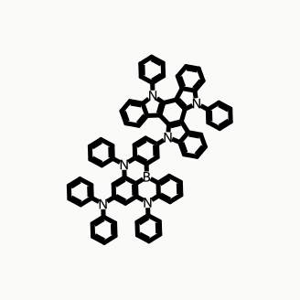 c1ccc(N(c2ccccc2)c2cc3c4c(c2)N(c2ccccc2)c2ccc(-n5c6ccccc6c6c7c(c8ccccc8n7-c7ccccc7)c7c(c8ccccc8n7-c7ccccc7)c65)cc2B4c2ccccc2N3c2ccccc2)cc1